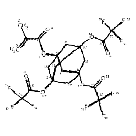 C=C(C)C(=O)OC12CC3(OC(=O)C(F)(F)F)CC(OC(=O)C(F)(F)F)(C1)CC(OC(=O)C(F)(F)F)(C2)C3